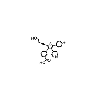 O=C(O)c1cccc(-c2c(C#CCCO)sc(-c3ccc(F)cc3)c2-c2ccncc2)c1